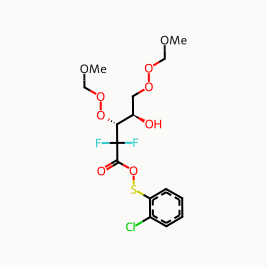 COCOOC[C@@H](O)[C@@H](OOCOC)C(F)(F)C(=O)OSc1ccccc1Cl